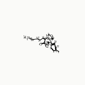 C=O.Cc1ccc(S(=O)(=O)NC(CCCCN)C(=O)Cl)cc1